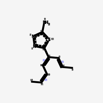 Bc1nnc(C(/C=C/C)=C/C=C\C)s1